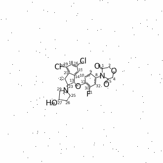 O=C1COCC(=O)N1c1ccc(O[C@H]2c3cc(Cl)cc(Cl)c3C[C@@H]2N2CCC(O)C2)c(F)c1